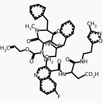 C=CCOC(=O)N(C)C(CC(C)C)C(=O)N(C)C(Cc1ccccc1)C(=O)NC(COc1cnc2ccc(F)cc2c1C(=O)NC(CC(=O)O)C(=O)NCCc1cc(C)no1)Cc1ccccc1